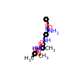 COc1cc(C)ccc1S(=O)(=O)Nn1ccc(C)c(CC(=O)NCc2ccc(/C(N)=N/C(=O)OCc3ccccc3)cc2)c1=O